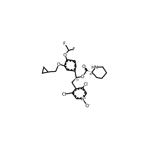 O=C(O[C@@H](Cc1c(Cl)c[n+]([O-])cc1Cl)c1ccc(OC(F)F)c(OCC2CC2)c1)[C@H]1CCCCN1